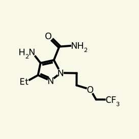 CCc1nn(CCOCC(F)(F)F)c(C(N)=O)c1N